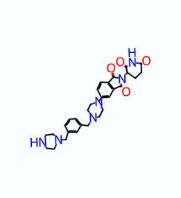 O=C1CCC(N2C(=O)c3ccc(N4CCN(Cc5cccc(CN6CCNCC6)c5)CC4)cc3C2=O)C(=O)N1